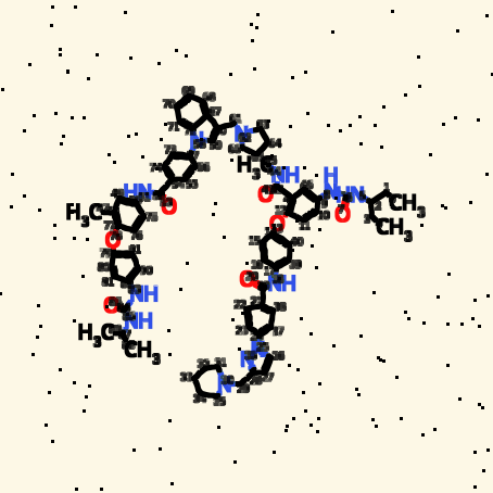 CCC(CC)NC(=O)Nc1ccc(Oc2ccc(NC(=O)c3ccc(-n4ccc(CN5CCCCC5)n4)cc3)cc2)c(C(=O)NC)c1.Cc1cc(NC(=O)c2ccc(-n3cc(CN4CCCC4)c4ccccc43)cc2)ccc1Oc1ccc(NC(=O)NC(C)C)cc1